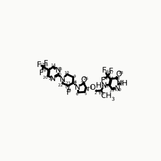 C[C@@H](CO[C@@H]1CCN([C@@H]2CCN(c3ncc(C(F)(F)F)cn3)C[C@H]2F)C1=O)Nc1cn[nH]c(=O)c1C(F)(F)F